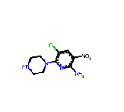 Nc1nc(N2CCNCC2)c(Cl)cc1[N+](=O)[O-]